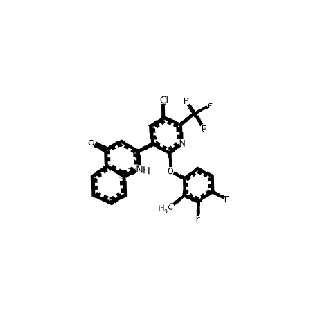 Cc1c(Oc2nc(C(F)(F)F)c(Cl)cc2-c2cc(=O)c3ccccc3[nH]2)ccc(F)c1F